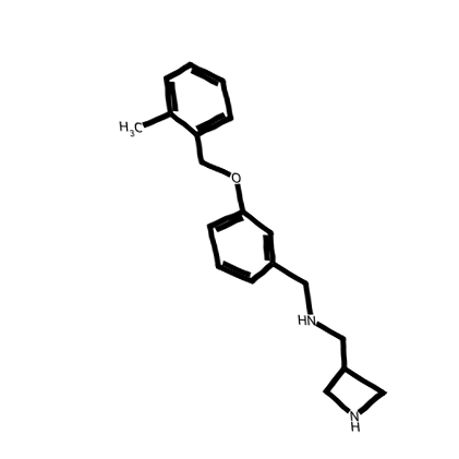 Cc1ccccc1COc1cccc(CNCC2CNC2)c1